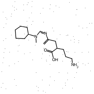 C=C(CC(CCCN)C(=O)O)/N=C\N(C)C1CCCCC1